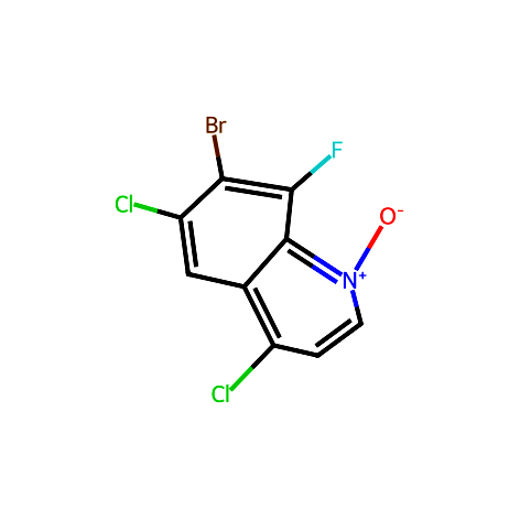 [O-][n+]1ccc(Cl)c2cc(Cl)c(Br)c(F)c21